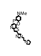 CNc1ccc(Oc2ccnc3cc(-c4cn(CCN5CCCC5)cn4)sc23)c(F)c1